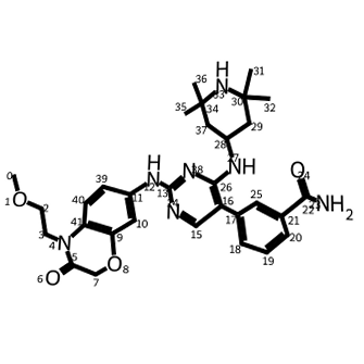 COCCN1C(=O)COc2cc(Nc3ncc(-c4cccc(C(N)=O)c4)c(NC4CC(C)(C)NC(C)(C)C4)n3)ccc21